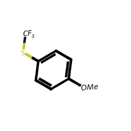 COc1[c]cc(SC(F)(F)F)cc1